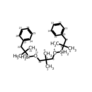 CC(C)(CO[SiH2]C(C)(C)Cc1ccccc1)CO[SiH2]C(C)(C)Cc1ccccc1